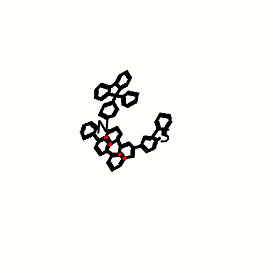 c1ccc(-c2ccc(-c3ccccc3N(c3ccc(-c4cccc(-c5ccc6sc7ccccc7c6c5)c4)cc3)c3ccc(C4(c5ccccc5)c5ccccc5-c5ccccc54)cc3)cc2)cc1